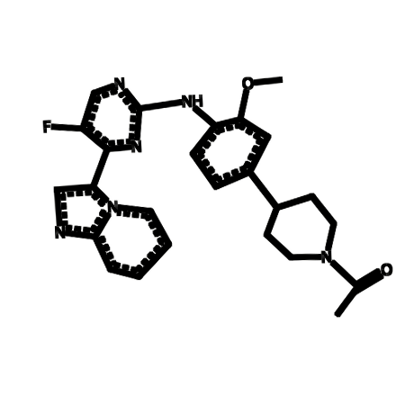 COc1cc(C2CCN(C(C)=O)CC2)ccc1Nc1ncc(F)c(-c2cnc3ccccn23)n1